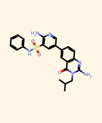 CC(C)Cn1c(N)nc2ccc(-c3cnc(N)c(S(=O)(=O)Nc4ccccc4)c3)cc2c1=O